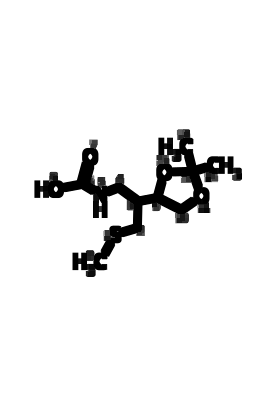 CSCC(CNC(=O)O)C1COC(C)(C)O1